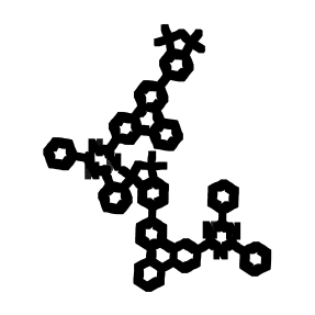 CC1(C)CC(C)(C)c2cc(-c3ccc4c5ccc(-c6nc(-c7ccccc7)nc(-c7ccccc7C7(C)CC(C)(C)c8ccc(-c9ccc%10c(c9)=C9C=C(c%11nc(-c%12ccccc%12)nc(-c%12ccccc%12)n%11)C=CC9C9C=CC=CC=%109)cc87)n6)cc5c5ccccc5c4c3)ccc21